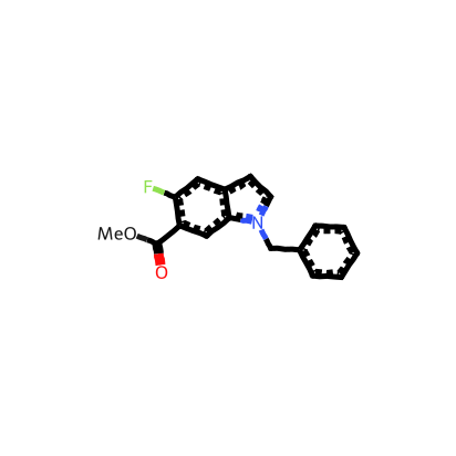 COC(=O)c1cc2c(ccn2Cc2ccccc2)cc1F